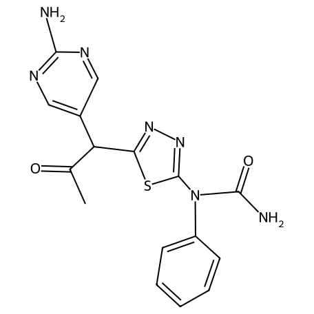 CC(=O)C(c1cnc(N)nc1)c1nnc(N(C(N)=O)c2ccccc2)s1